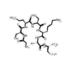 CC(C)[C@H](NC(=O)[C@H](CCCCN)NC(=O)[C@H](CO)NC(=O)[C@H](CCC(=O)O)NC(=O)[C@H](CO)NC(=O)CN)C(=O)N[C@@H](CC(=O)O)C(=O)O